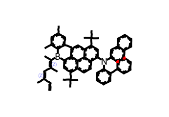 C=C/C(C)=C\C(C)=C(/C)B(c1c(C)cc(C)cc1C)c1cc(C(C)(C)C)c2ccc3c(N(c4ccc5ccccc5c4)c4ccccc4-c4ccccc4)cc(C(C)(C)C)c4ccc1c2c34